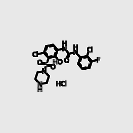 Cl.O=C(Nc1ccc(Cl)c(S(=O)(=O)N2CCNCC2)c1O)Nc1cccc(F)c1Cl